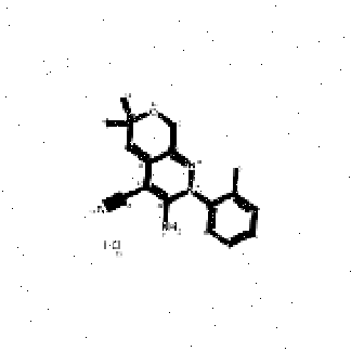 Cc1ccccc1N1N=C2COC(C)(C)C=C2C(C#N)=C1N.Cl